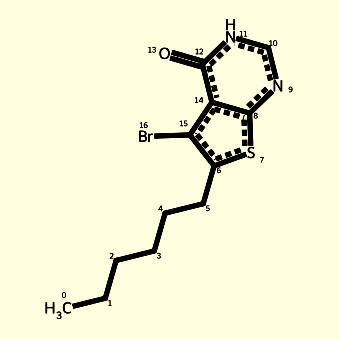 CCCCCCc1sc2nc[nH]c(=O)c2c1Br